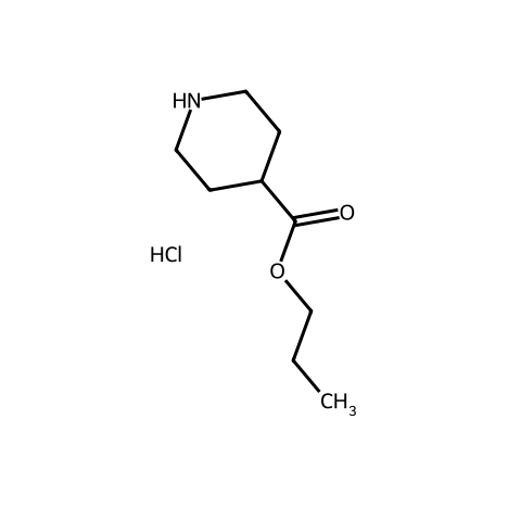 CCCOC(=O)C1CCNCC1.Cl